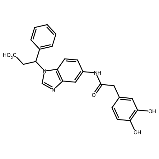 O=C(O)CC(c1ccccc1)n1cnc2cc(NC(=O)Cc3ccc(O)c(O)c3)ccc21